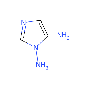 N.Nn1ccnc1